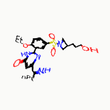 CCCC(=N)c1cc(=O)[nH]c(-c2cc(S(=O)(=O)N3CC(CCCO)C3)ccc2OCC)n1